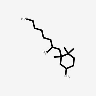 CC1(C)CCC(N)CC1(C)CC(N)CCCCCN